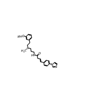 COc1cccc(CCN(C)CCCNC(=O)C/C=C/c2ccc(-n3ccnc3)cc2)c1